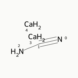 N#CN.[CaH2].[CaH2]